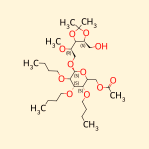 CCCCOC1[C@@H](OC[C@@H](OC)C2OC(C)(C)O[C@H]2CO)OC(COC(C)=O)[C@H](OCCCC)[C@@H]1OCCCC